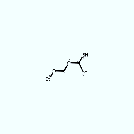 CCOCOC(S)S